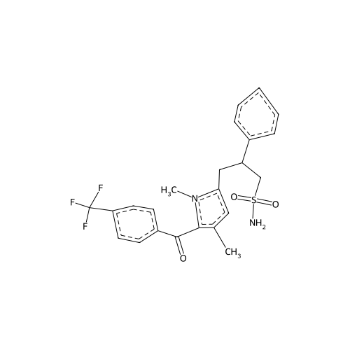 Cc1cc(CC(CS(N)(=O)=O)c2ccccc2)n(C)c1C(=O)c1ccc(C(F)(F)F)cc1